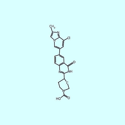 Cc1cn2cc(-c3ccc4nc(C5CCN(C(=O)O)CC5)[nH]c(=O)c4c3)cc(Cl)c2n1